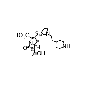 C[C@@H](O)[C@H]1C(=O)N2C(C(=O)O)=C(S[C@@H]3CCN(CCC4CCNCC4)C3)[C@H](C)[C@H]12